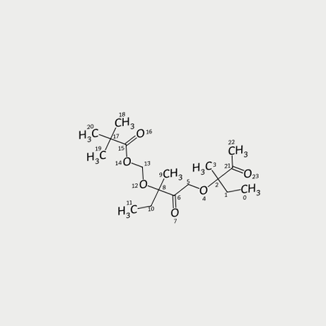 CCC(C)(OCC(=O)C(C)(CC)OCOC(=O)C(C)(C)C)C(C)=O